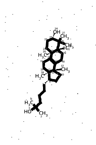 CC(C)(O)CCCC[C@H]1CC[C@@]2(C)C3=C(CC[C@]12C)[C@@]1(C)CC[C@H](O)C(C)(C)[C@@H]1CC3